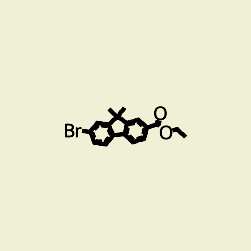 CCOC(=O)c1ccc2c(c1)C(C)(C)c1cc(Br)ccc1-2